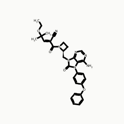 CCOC(C)(C)C=C(C#N)C(=O)N1CC[C@H]1Cn1c(=O)n(-c2ccc(Oc3ccccc3)cc2)c2c(N)ncnc21